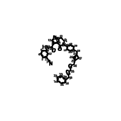 N#Cc1cccc(NC(=O)c2cnn3c2C(=O)N(c2ccc(CC45CC(COCOCc6ccccc6)(C4)C5)cc2)CC3)c1